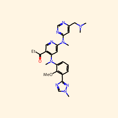 CCC(=O)c1cnc(N(C)c2cc(CN(C)C)ncn2)cc1N(C)c1cccc(-c2ncn(C)n2)c1OC